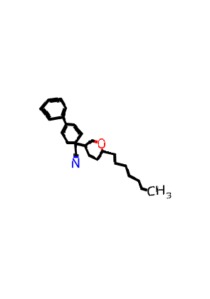 CCCCCCCC1CCC(C2(C#N)C=CC(c3ccccc3)=CC2)CO1